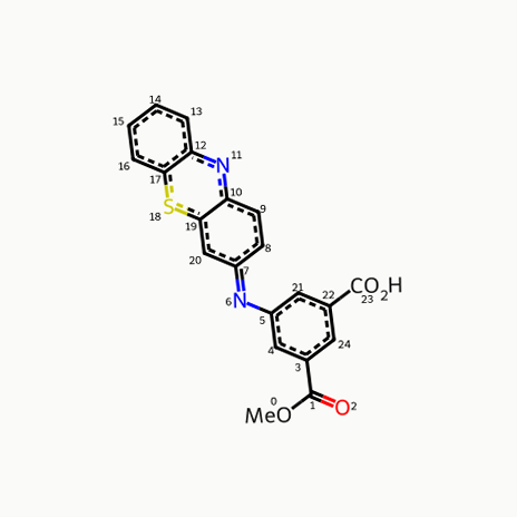 COC(=O)c1cc(/N=c2\ccc3nc4ccccc4sc-3c2)cc(C(=O)O)c1